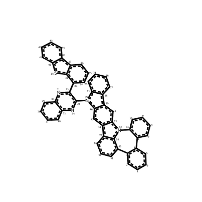 c1ccc2c(c1)-c1ccccc1-n1c3cc4c5ccccc5n(-c5nc6ccccc6nc5-c5cccc6c5sc5ccccc56)c4cc3c3cccc-2c31